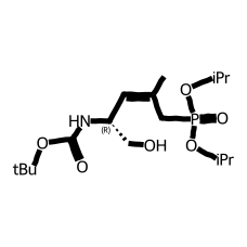 CC(=C[C@H](CO)NC(=O)OC(C)(C)C)CP(=O)(OC(C)C)OC(C)C